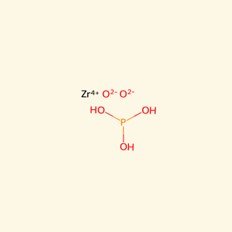 OP(O)O.[O-2].[O-2].[Zr+4]